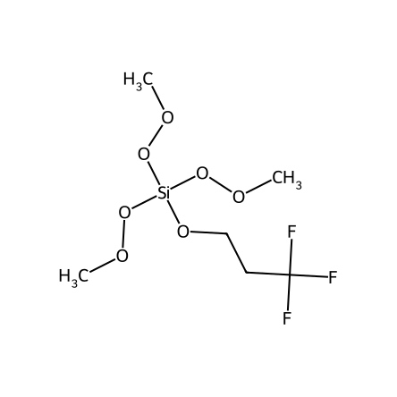 COO[Si](OCCC(F)(F)F)(OOC)OOC